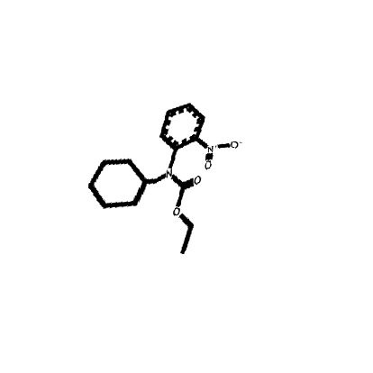 CCOC(=O)N(c1ccccc1[N+](=O)[O-])C1CCCCC1